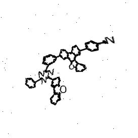 N#Cc1ccc(-c2ccc3c4ccc(-c5cccc(-c6nc(-c7ccccc7)nc(-c7ccc8oc9ccccc9c8c7)n6)c5)cc4c4oc5ccccc5c4c3c2)cc1